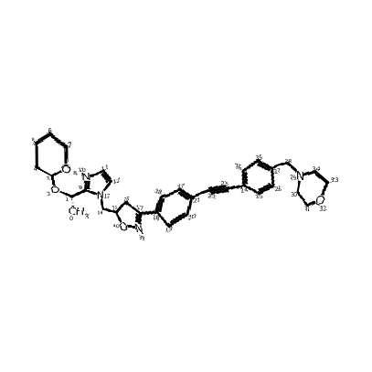 C[C@H](OC1CCCCO1)c1nccn1CC1CC(c2ccc(C#Cc3ccc(CN4CCOCC4)cc3)cc2)=NO1